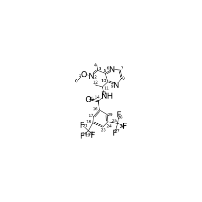 CON=C(C)c1nccnc1C(C)NC(=O)c1cc(C(F)(F)F)cc(C(F)(F)F)c1